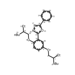 CCCCC(CC)COc1ccc(OCC(CC)CCCC)c(-c2nnc(-c3ccccc3)o2)c1